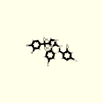 CC(C)(c1ccc(F)c(F)c1)c1cnc(SCc2ccc(F)cc2Cl)n1-c1ccc(F)cc1